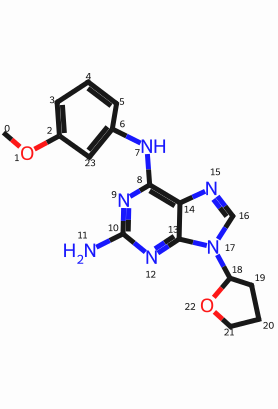 COc1cccc(Nc2nc(N)nc3c2ncn3C2CCCO2)c1